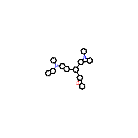 c1ccc(N(c2ccc3ccccc3c2)c2ccc3cc(-c4cc(-c5ccc6c(c5)oc5ccccc56)cc(-c5ccc6c(c5)c5ccccc5n6-c5ccccc5)c4)ccc3c2)cc1